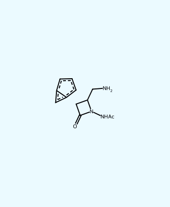 CC(=O)NN1C(=O)CC1CN.c1cc2cc-2c1